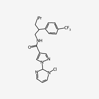 CC(C)CC(CNC(=O)c1cnn(C2N=CC=CN2Cl)c1)c1ccc(C(F)(F)F)cc1